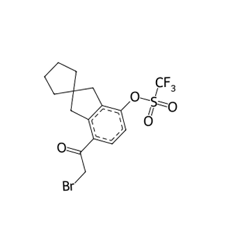 O=C(CBr)c1ccc(OS(=O)(=O)C(F)(F)F)c2c1CC1(CCCC1)C2